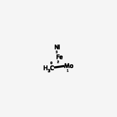 [CH3][Mo].[Fe].[Ni]